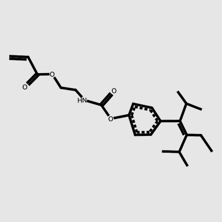 C=CC(=O)OCCNC(=O)Oc1ccc(/C(=C(/CC)C(C)C)C(C)C)cc1